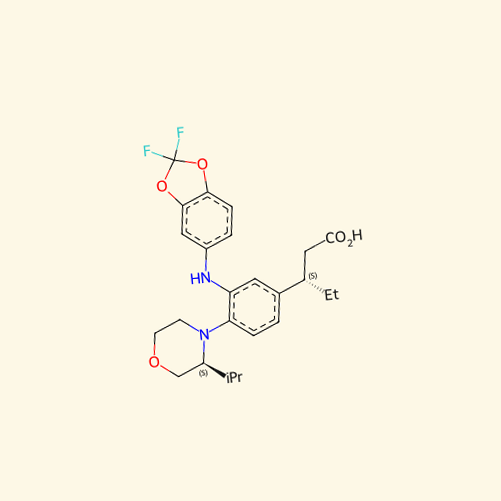 CC[C@@H](CC(=O)O)c1ccc(N2CCOC[C@@H]2C(C)C)c(Nc2ccc3c(c2)OC(F)(F)O3)c1